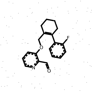 O=Cc1ncccc1OCC1=C(c2ccccc2F)CCCC1